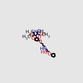 COC(=O)C1=C(C)NC(C)=C(C(=O)OC)C1c1cccc(OCCCCNCC(O)COc2ccccc2)c1